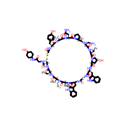 CCCC[C@H]1C(=O)N(C)[C@@H](CCCC)C(=O)N[C@@H](CC(C)C)C(=O)N[C@H](C(=O)NCC(=O)NC2CCC(O)CC2)CSCC(=O)N[C@@H](Cc2ccc(O)cc2)C(=O)N(C)[C@@H](C)C(=O)N[C@@H](CC(N)=O)C(=O)N2CCC[C@H]2C(=O)N[C@@H](CN)C(=O)N[C@@H](CC(C)C)C(=O)N2C[C@H](O)C[C@H]2C(=O)N[C@@H](Cc2c[nH]c3ccccc23)C(=O)NCC(=O)NC(Cc2c[nH]c3ccccc23)C(=O)N1C